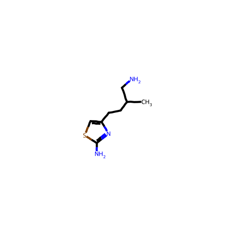 CC(CN)CCc1csc(N)n1